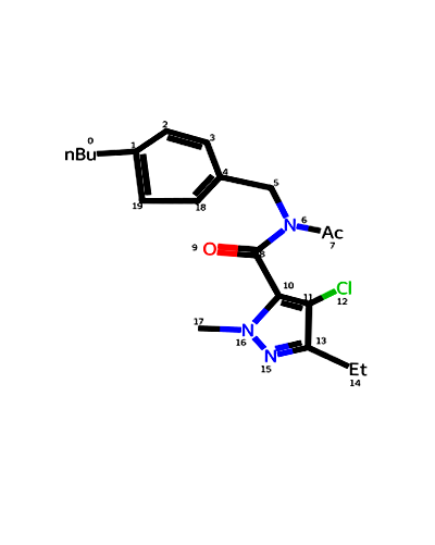 CCCCc1ccc(CN(C(C)=O)C(=O)c2c(Cl)c(CC)nn2C)cc1